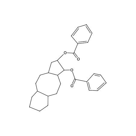 O=C(OC1CC2CCC3CCCCC3CCC2C1OC(=O)c1ccccc1)c1ccccc1